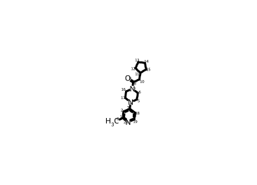 Cc1cc(N2CCN(C(=O)CC3CCCC3)CC2)ccn1